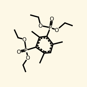 CCOP(=O)(OCC)c1c(C)cc(C)c(P(=O)(OCC)OCC)c1C